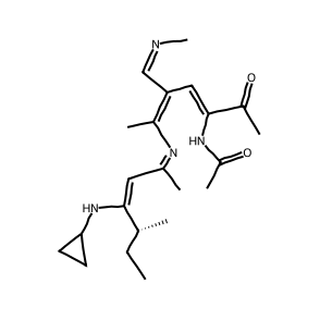 CC[C@@H](C)/C(=C\C(C)=N/C(C)=C(/C=N\C)\C=C(/NC(C)=O)C(C)=O)NC1CC1